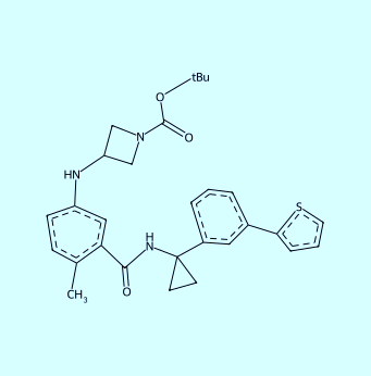 Cc1ccc(NC2CN(C(=O)OC(C)(C)C)C2)cc1C(=O)NC1(c2cccc(-c3cccs3)c2)CC1